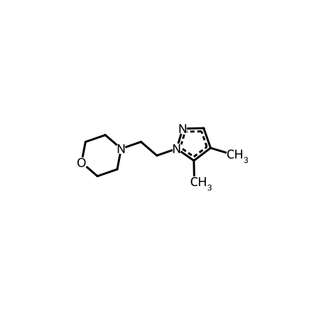 Cc1cnn(CCN2CCOCC2)c1C